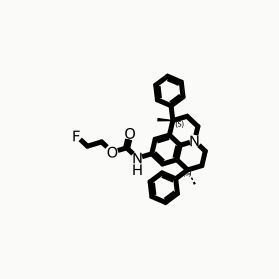 C[C@@]1(c2ccccc2)CCN2CC[C@@](C)(c3ccccc3)c3cc(NC(=O)OCCF)cc1c32